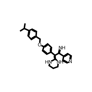 CC(C)c1ccc(COc2ccc(C(C(=N)c3ccncc3)=C3NCCCN3)cc2)cc1